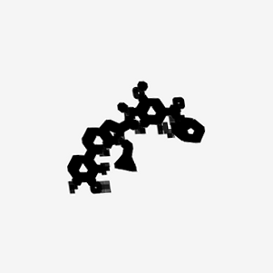 COc1cc(C(=O)N2CC3CCC2[C@@H]3N)cc2nc(-c3cc4ccc(-c5ccc(F)c(O)c5F)nc4n3CC3CC3)n(C)c12